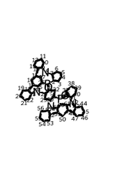 O=P12c3ccccc3-n3c4ccccc4c4cc5c6ccccc6n(c5c1c43)-c1cc3c(cc12)P1(=O)c2ccccc2-n2c4ccccc4c4cc5c6ccccc6n-3c5c1c42